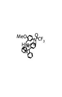 COc1ccc(NC(=O)C(F)(F)F)cc1CN[C@H]1C2CCN(CC2)[C@H]1C(c1ccccc1)c1ccccc1